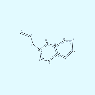 C=CCc1[c]nc2ccccc2n1